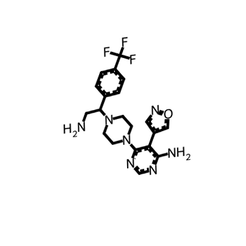 NCC(c1ccc(C(F)(F)F)cc1)N1CCN(c2ncnc(N)c2-c2cnoc2)CC1